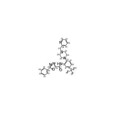 O=C(Nc1cc(C(F)(F)F)ccc1N1CCN(Cc2ccccn2)CC1)c1nnc(-c2ccccc2)o1